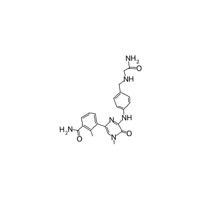 Cc1c(C(N)=O)cccc1-c1cn(C)c(=O)c(Nc2ccc(CNCC(N)=O)cc2)n1